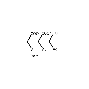 CC(=O)CC(=O)[O-].CC(=O)CC(=O)[O-].CC(=O)CC(=O)[O-].[Tm+3]